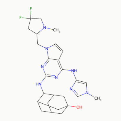 CN1CC(F)(F)CC1Cn1ccc2c(Nc3cn(C)cn3)nc(NC3C4CC5CC3CC(O)(C5)C4)nc21